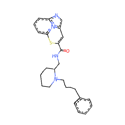 O=C(NCC1CCCCN1CCCc1ccccc1)C1=Cc2cnc3cccc(n23)S1